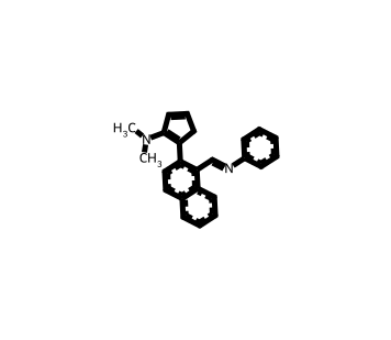 CN(C)C1=C(c2ccc3ccccc3c2C=Nc2ccccc2)CC=C1